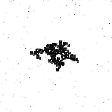 COc1c(OCC(O)CN)cc2cc1-c1cc(cc(OCC(O)CN)c1OC)C(N(C)C(=O)C(CCN)NC(=O)c1c(C)nc(-c3ccc(C(C)(C)C)cc3)nc1C)C(=O)NC(C)C(=O)NC(C(=O)NCC#N)C2